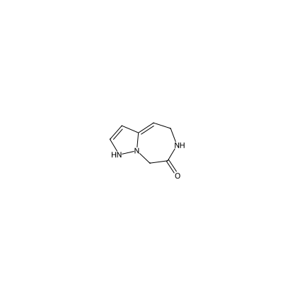 O=C1CN2NC=CC2=CCN1